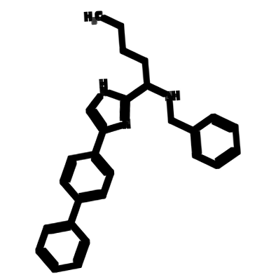 CCCCC(NCc1ccccc1)c1nc(-c2ccc(-c3ccccc3)cc2)c[nH]1